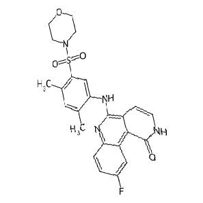 Cc1cc(C)c(S(=O)(=O)N2CCOCC2)cc1Nc1nc2ccc(F)cc2c2c(=O)[nH]ccc12